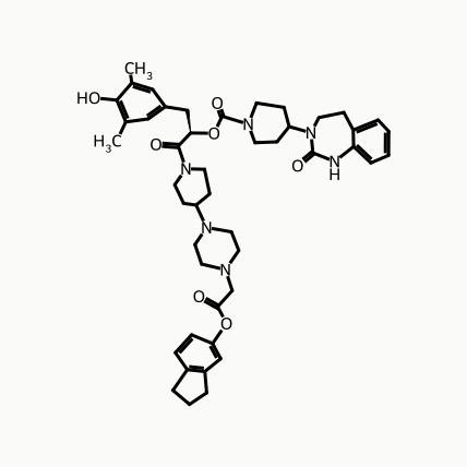 Cc1cc(C[C@@H](OC(=O)N2CCC(N3CCc4ccccc4NC3=O)CC2)C(=O)N2CCC(N3CCN(CC(=O)Oc4ccc5c(c4)CCC5)CC3)CC2)cc(C)c1O